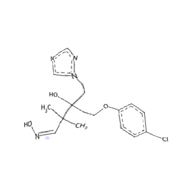 CC(C)(/C=N\O)C(O)(COc1ccc(Cl)cc1)Cn1cncn1